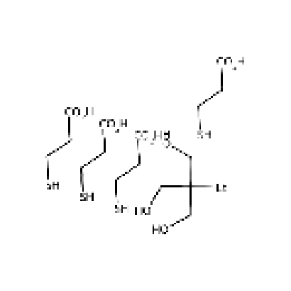 CCC(CO)(CO)CO.O=C(O)CCS.O=C(O)CCS.O=C(O)CCS.O=C(O)CCS